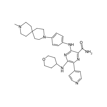 CN1CCC2(CC1)CCN(c1ccc(Nc3nc(NC4CCOCC4)c(-c4ccncc4)nc3C(N)=O)cc1)CC2